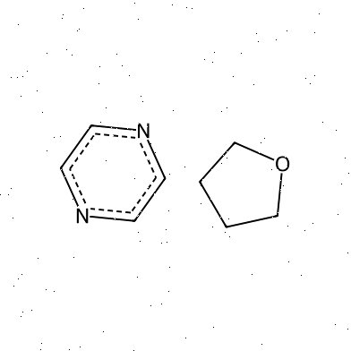 C1CCOC1.c1cnccn1